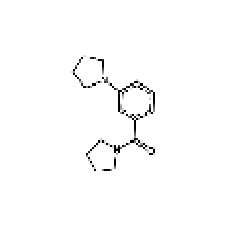 O=C(c1cc[c]c(N2CCCC2)c1)N1CCCC1